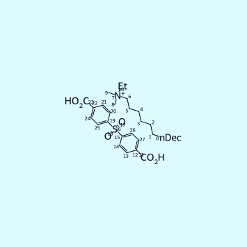 CCCCCCCCCCCCCCCC[N+](C)(C)CC.O=C(O)c1ccc(S(=O)(=O)c2ccc(C(=O)O)cc2)cc1